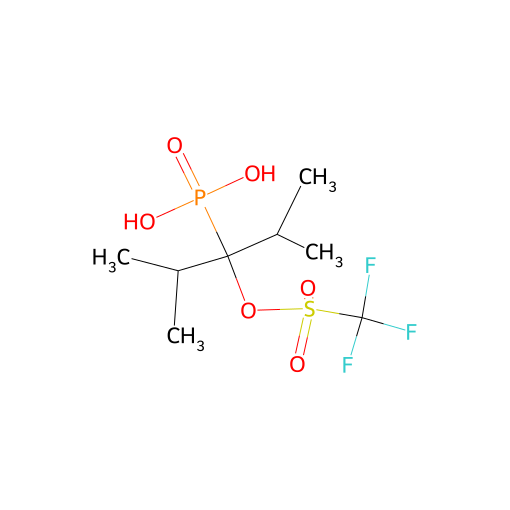 CC(C)C(OS(=O)(=O)C(F)(F)F)(C(C)C)P(=O)(O)O